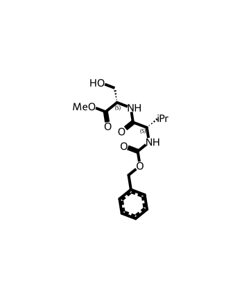 COC(=O)[C@H](CO)NC(=O)[C@@H](NC(=O)OCc1ccccc1)C(C)C